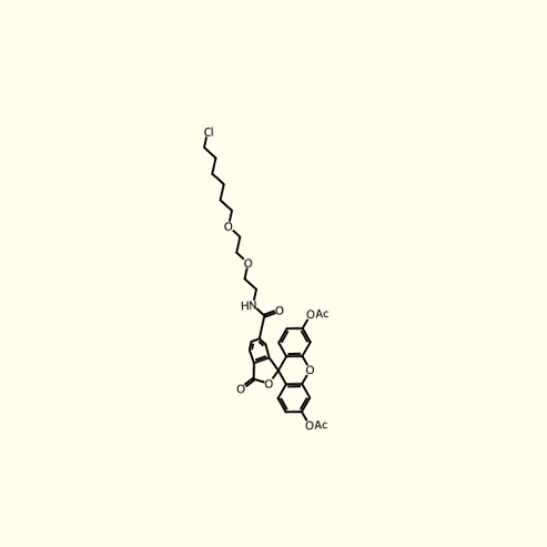 CC(=O)Oc1ccc2c(c1)Oc1cc(OC(C)=O)ccc1C21OC(=O)c2ccc(C(=O)NCCOCCOCCCCCCCl)cc21